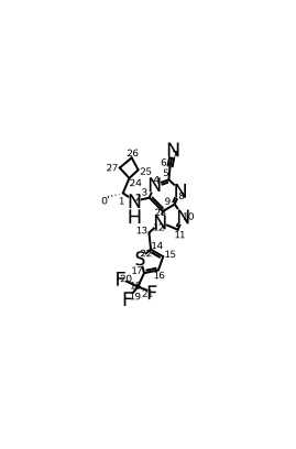 C[C@@H](Nc1nc(C#N)nc2ncn(Cc3ccc(C(F)(F)F)s3)c12)C1CCC1